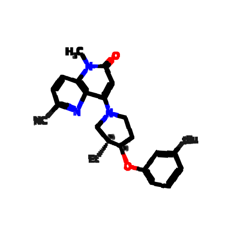 CC[C@@H]1CN(c2cc(=O)n(C)c3ccc(C#N)nc23)CC[C@H]1Oc1cccc(C(C)(C)C)c1